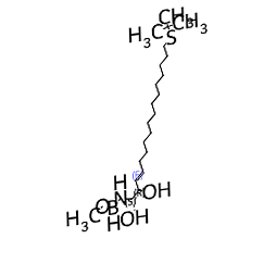 COBN[C@@H](CO)[C@H](O)/C=C/CCCCCCCCCCCCCSC(C)(C)C